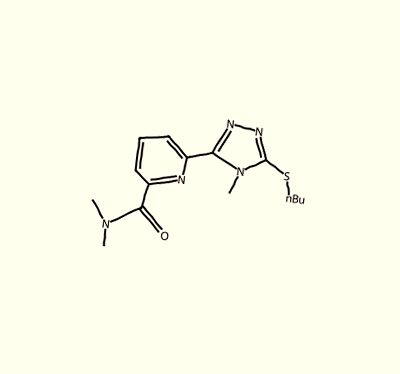 CCCCSc1nnc(-c2cccc(C(=O)N(C)C)n2)n1C